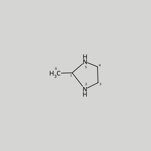 CC1NCCN1